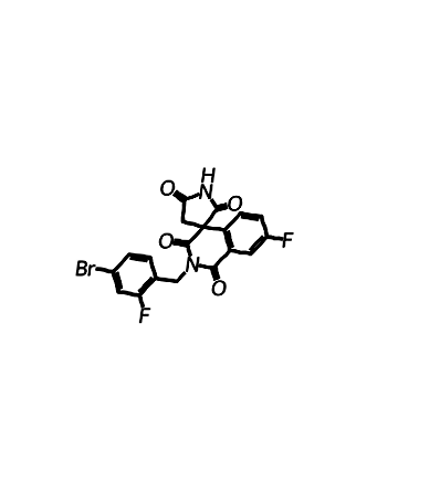 O=C1CC2(C(=O)N1)C(=O)N(Cc1ccc(Br)cc1F)C(=O)c1cc(F)ccc12